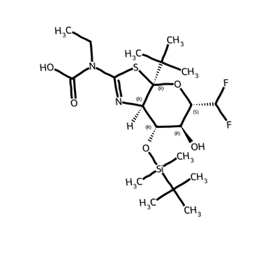 CCN(C(=O)O)C1=N[C@@H]2[C@@H](O[Si](C)(C)C(C)(C)C)[C@H](O)[C@@H](C(F)F)O[C@]2(C(C)(C)C)S1